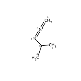 C=[N+]=NC(C)C